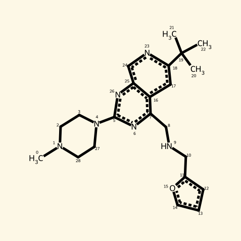 CN1CCN(c2nc(CNCc3ccco3)c3cc(C(C)(C)C)ncc3n2)CC1